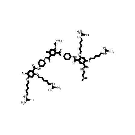 CC(=O)c1cc(C(=O)N[C@H]2CC[C@H](CC(=O)c3cc(C(=O)C[C@H]4CC[C@H](NC(=O)c5cc(C(=O)NCCN(C)C)c(OCCCCCNC(=N)N)cc5OCCCCCNC(=N)N)CC4)c(OCC(=O)O)cc3C)CC2)c(OCCCCCNC(=N)N)cc1OCCCCCNC(=N)N